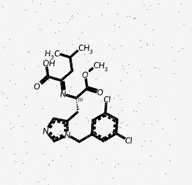 COC(=O)[C@H](Cc1cncn1Cc1cc(Cl)cc(Cl)c1)N=C(CC(C)C)C(=O)O